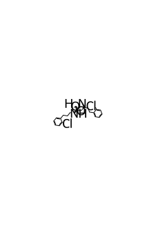 NC(CCc1ccccc1Cl)OC(=O)NCCCc1ccccc1Cl